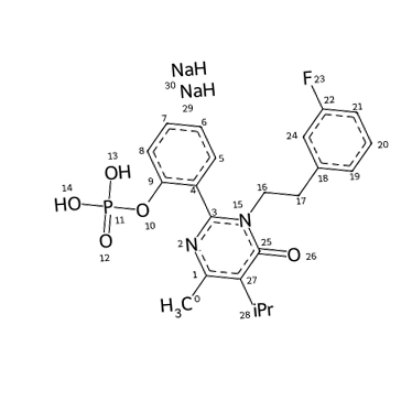 Cc1nc(-c2ccccc2OP(=O)(O)O)n(CCc2cccc(F)c2)c(=O)c1C(C)C.[NaH].[NaH]